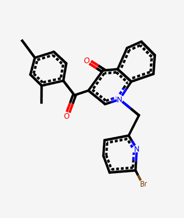 Cc1ccc(C(=O)c2cn(Cc3cccc(Br)n3)c3ccccc3c2=O)c(C)c1